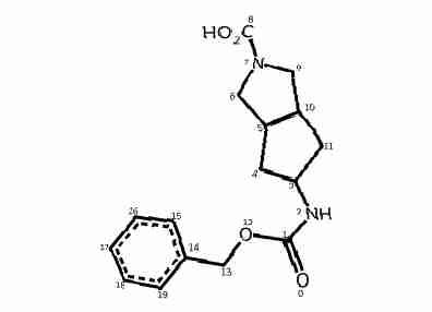 O=C(NC1CC2CN(C(=O)O)CC2C1)OCc1ccccc1